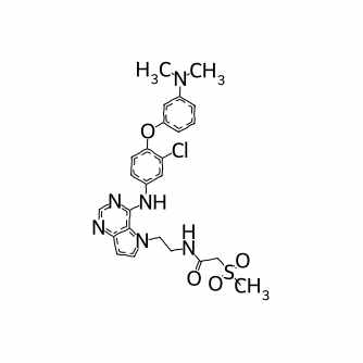 CN(C)c1cccc(Oc2ccc(Nc3ncnc4ccn(CCNC(=O)CS(C)(=O)=O)c34)cc2Cl)c1